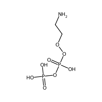 NCCOOP(=O)(O)OP(=O)(O)O